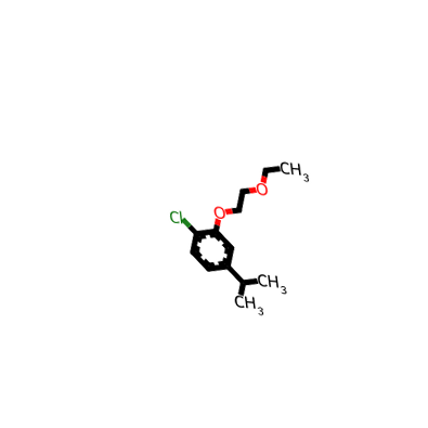 CCOCCOc1cc(C(C)C)ccc1Cl